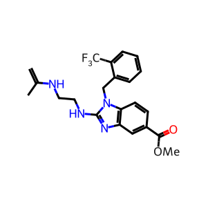 C=C(C)NCCNc1nc2cc(C(=O)OC)ccc2n1Cc1ccccc1C(F)(F)F